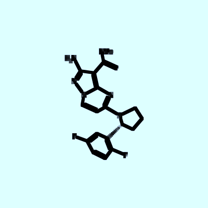 C=C(NC)c1c(N)nn2ccc(N3CCC[C@@H]3c3cc(F)ccc3F)nc12